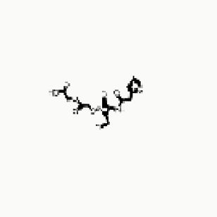 O=C(O)COC(=O)CSN1C(=O)C(NC(=O)Cc2cccs2)C1CCl